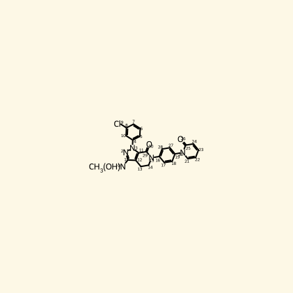 CN(O)c1nn(-c2cccc(Cl)c2)c2c1CCN(c1ccc(-n3ccccc3=O)cc1)C2=O